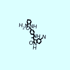 CC(Nc1ccc(C(=O)Nc2ccccc2N)cc1)=C1C(=O)Nc2ccc(C#N)cc21